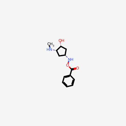 CN[C@H]1C[C@@H](NOC(=O)c2ccccc2)C[C@H]1O